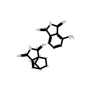 Cc1cccc2c1C(=O)OC2=O.O=C1OC(=O)C23CCC(C=C12)C3